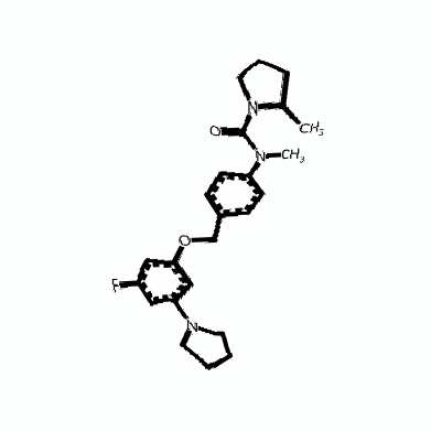 CC1CCCN1C(=O)N(C)c1ccc(COc2cc(F)cc(N3CCCC3)c2)cc1